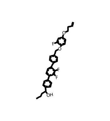 C=CCCOc1ccc(OCc2ccc(-c3ccc(-c4ccc(C(O)CCC)cc4)c(F)c3F)cc2)c(F)c1